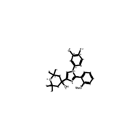 COc1ccccc1-c1nc(C2(O)CC(C)(C)OC(C)(C)C2)cn1-c1ccc(F)c(Cl)c1